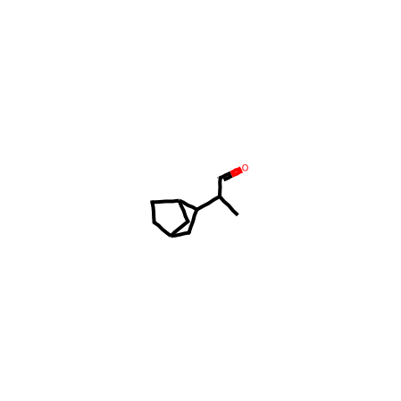 CC([C]=O)C1CC2CCC1C2